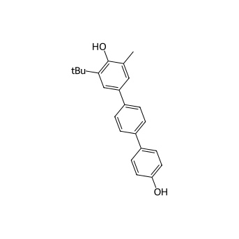 Cc1cc(-c2ccc(-c3ccc(O)cc3)cc2)cc(C(C)(C)C)c1O